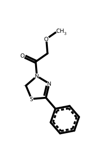 COCC(=O)N1[CH]SC(c2ccccc2)=N1